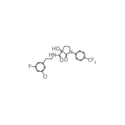 O=C(NCCc1cc(F)cc(Cl)c1)[C@]1(O)CCN(c2ccc(C(F)(F)F)cc2)C1=O